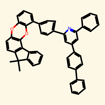 CC1(C)c2ccccc2-c2c1ccc1c2Oc2c(cccc2-c2ccc(-c3cc(-c4ccc(-c5ccccc5)cc4)cc(-c4ccccc4)n3)cc2)O1